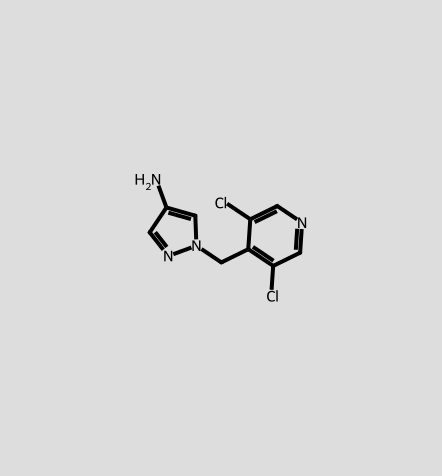 Nc1cnn(Cc2c(Cl)cncc2Cl)c1